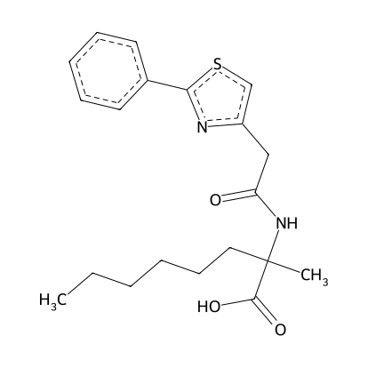 CCCCCCC(C)(NC(=O)Cc1csc(-c2ccccc2)n1)C(=O)O